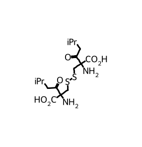 CC(C)CC(=O)C(N)(CSSCC(N)(C(=O)O)C(=O)CC(C)C)C(=O)O